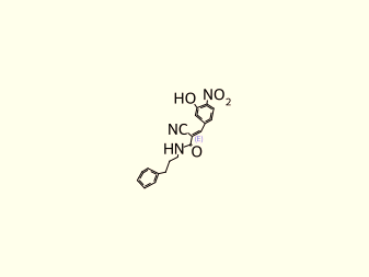 N#C/C(=C\c1ccc([N+](=O)[O-])c(O)c1)C(=O)NCCCc1ccccc1